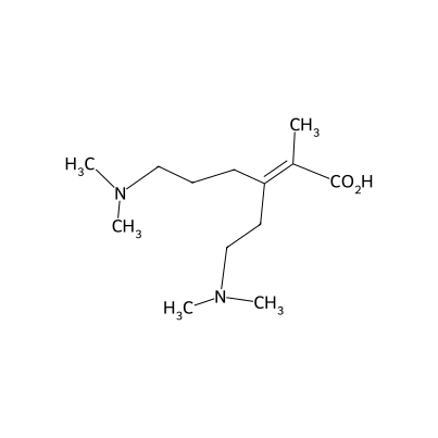 CC(C(=O)O)=C(CCCN(C)C)CCN(C)C